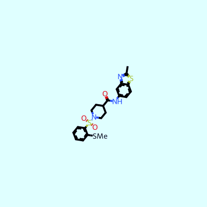 CSc1ccccc1S(=O)(=O)N1CCC(C(=O)Nc2ccc3sc(C)nc3c2)CC1